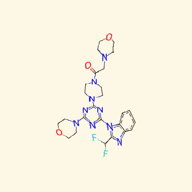 O=C(CN1CCOCC1)N1CCN(c2nc(N3CCOCC3)nc(-n3c(C(F)F)nc4ccccc43)n2)CC1